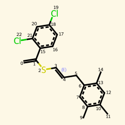 C=C(S/C=C/Cc1cc(C)c(C)cc1C)c1ccc(Cl)cc1Cl